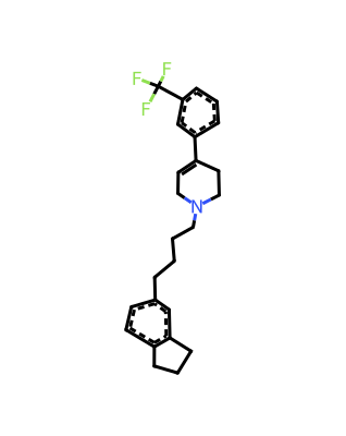 FC(F)(F)c1cccc(C2=CCN(CCCCc3ccc4c(c3)CCC4)CC2)c1